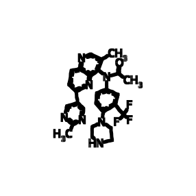 CC(=O)N(c1ccc(N2CCNCC2)c(C(F)(F)F)c1)c1c(C)cnc2ccc(-c3cnc(C)nc3)nc12